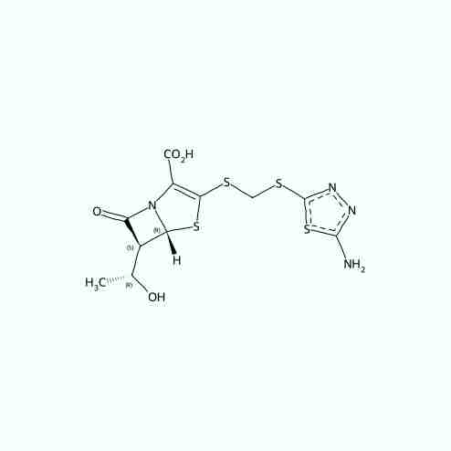 C[C@@H](O)[C@H]1C(=O)N2C(C(=O)O)=C(SCSc3nnc(N)s3)S[C@H]12